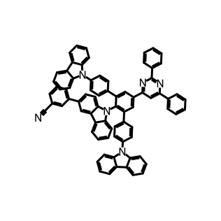 N#Cc1cccc(-c2ccc3c(c2)c2ccccc2n3-c2c(-c3ccc(-n4c5ccccc5c5ccccc54)cc3)cc(-c3cc(-c4ccccc4)nc(-c4ccccc4)n3)cc2-c2ccc(-n3c4ccccc4c4ccccc43)cc2)c1